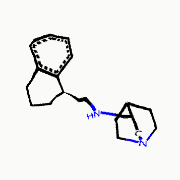 c1ccc2c(c1)CCC[C@@H]2CNC1CN2CCC1CC2